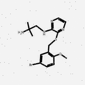 COc1ccc(Br)cc1CSc1nccnc1NCC(C)(C)N